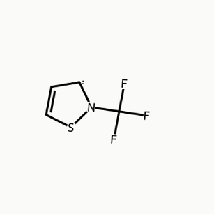 FC(F)(F)N1[C]C=CS1